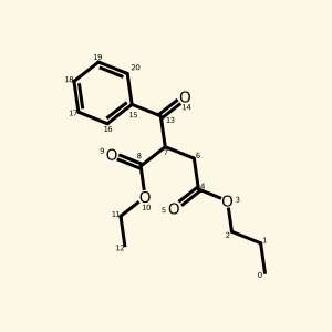 CCCOC(=O)CC(C(=O)OCC)C(=O)c1ccccc1